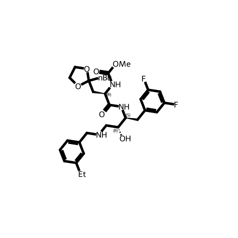 CCCCC1(C[C@@H](NC(=O)OC)C(=O)N[C@@H](Cc2cc(F)cc(F)c2)[C@H](O)CNCc2cccc(CC)c2)OCCO1